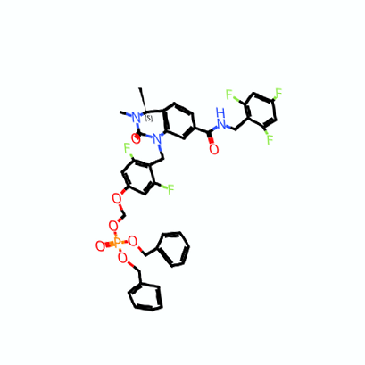 C[C@H]1c2ccc(C(=O)NCc3c(F)cc(F)cc3F)cc2N(Cc2c(F)cc(OCOP(=O)(OCc3ccccc3)OCc3ccccc3)cc2F)C(=O)N1C